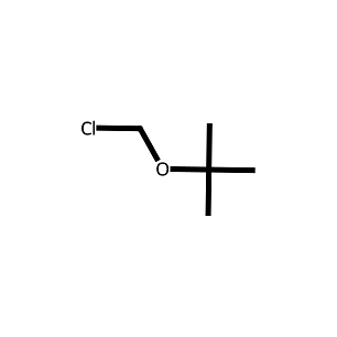 CC(C)(C)OCCl